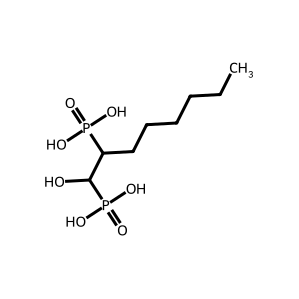 CCCCCCC(C(O)P(=O)(O)O)P(=O)(O)O